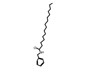 CCCCCCCCCCCCCCCC(Cl)NCc1ccccc1